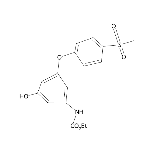 CCOC(=O)Nc1cc(O)cc(Oc2ccc(S(C)(=O)=O)cc2)c1